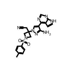 Cc1ccc(S(=O)(=O)N2CC(CC#N)(n3cc(-c4ncnc5[nH]ccc45)c(N)n3)C2)cc1